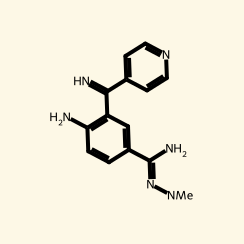 CN/N=C(\N)c1ccc(N)c(C(=N)c2ccncc2)c1